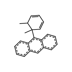 CC1C=CC=CC1(C)c1c2ccccc2cc2ccccc12